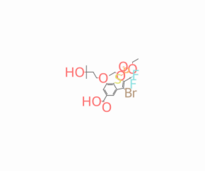 CCOP(=O)(OCC)C(F)(F)c1sc2c(OCCC(C)(C)O)cc(C(=O)O)cc2c1Br